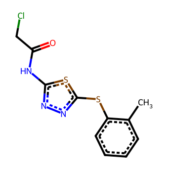 Cc1ccccc1Sc1nnc(NC(=O)CCl)s1